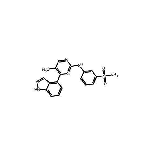 Cc1cnc(Nc2cccc(S(N)(=O)=O)c2)nc1-c1cccc2[nH]ccc12